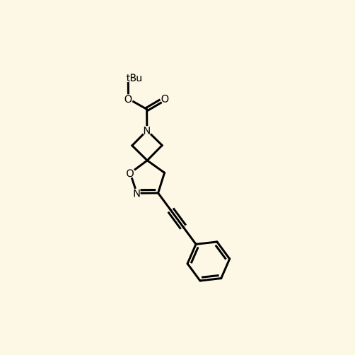 CC(C)(C)OC(=O)N1CC2(CC(C#Cc3ccccc3)=NO2)C1